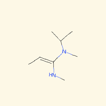 C/C=C(\NC)N(C)C(C)C